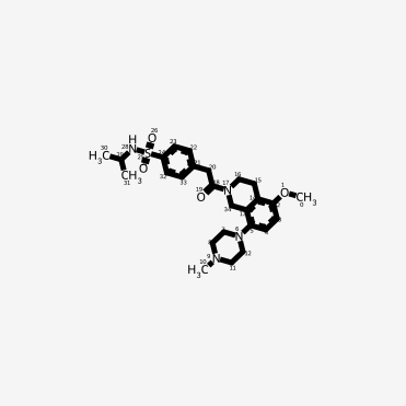 COc1ccc(N2CCN(C)CC2)c2c1CCN(C(=O)Cc1ccc(S(=O)(=O)NC(C)C)cc1)C2